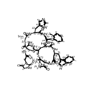 C[C@H]1NC(=O)[C@@H](NC(=O)CN2C(=O)CNC2=O)CSC2(CNC(=N)N)C[C@H](NC(=O)[C@@H](Cc3ccccc3)NC(=O)[C@H](Cc3cnc[nH]3)NC1=O)C(=O)N[C@@H](Cc1c[nH]c3ccccc13)C(=O)N[C@H](C(N)=O)C(C)(C)S2